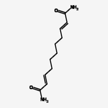 NC(=O)C=CCCCCCC=CC(N)=O